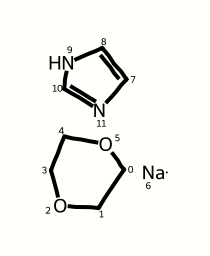 C1COCCO1.[Na].c1c[nH]cn1